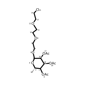 CC(=O)OC1[C@H](C)OC(OCCOCCOCCCl)[C@@H](OC(C)=O)[C@H]1OC(C)=O